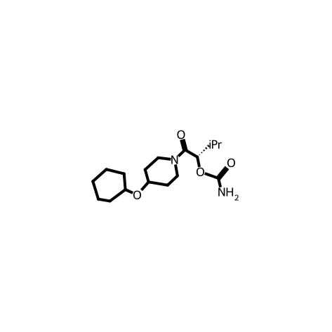 CC(C)[C@H](OC(N)=O)C(=O)N1CCC(OC2CCCCC2)CC1